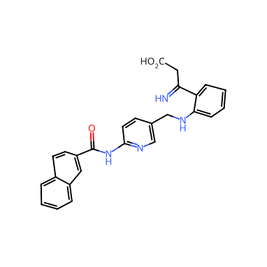 N=C(CC(=O)O)c1ccccc1NCc1ccc(NC(=O)c2ccc3ccccc3c2)nc1